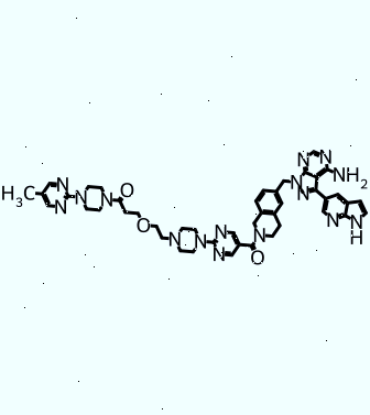 Cc1cnc(N2CCN(C(=O)CCOCCN3CCN(c4ncc(C(=O)N5CCc6cc(Cn7nc(-c8cnc9[nH]ccc9c8)c8c(N)ncnc87)ccc6C5)cn4)CC3)CC2)nc1